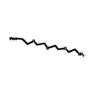 CCCC(C)CCOCCOCCOCCN